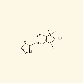 CN1C(=O)C(C)(C)c2ccc(-c3nncs3)cc21